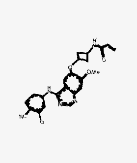 C=CC(=O)NC1CC(Oc2cc3c(Nc4ccc(C#N)c(Cl)c4)ncnc3cc2OC)C1